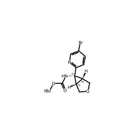 CC(C)(C)OC(=O)N[C@]1(c2ccc(Br)cn2)[C@@H]2COC[C@@H]21